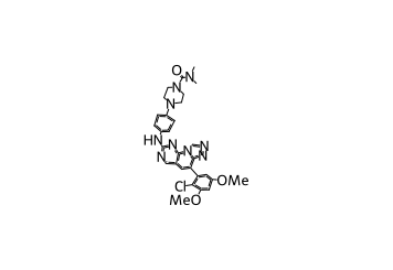 COc1cc(OC)c(Cl)c(-c2cc3cnc(Nc4ccc(N5CCN(C(=O)N(C)C)CC5)cc4)nc3n3cnnc23)c1